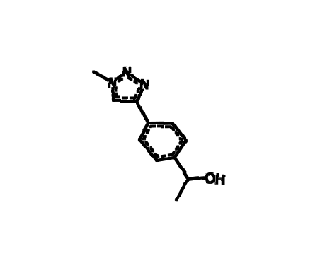 CC(O)c1ccc(-c2cn(C)nn2)cc1